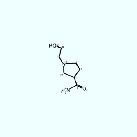 NC(=O)C1CCN(CCO)C1